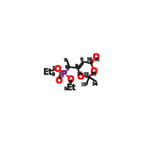 CCOP(=O)(OCC)C(C)C1=CC(=O)OC(C)(C)O1